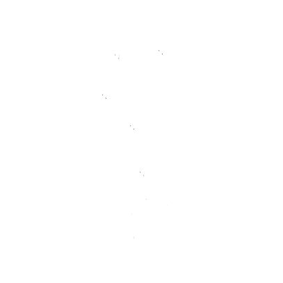 Cc1c[nH]c2ncnc(N3CCN(C(=O)OC(C)(C)C)[C@@H](C)C3)c12